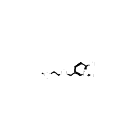 COCCOCc1ccc(Br)[n+]([O-])c1